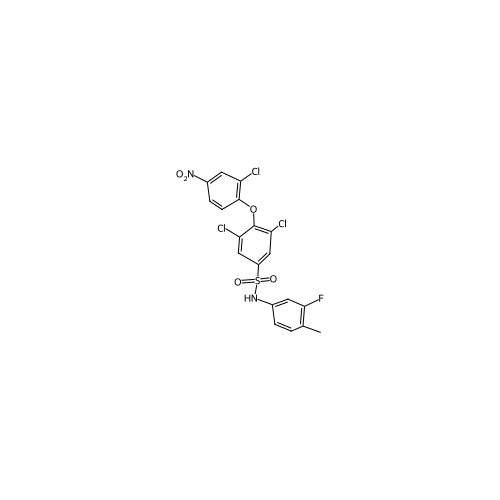 Cc1ccc(NS(=O)(=O)c2cc(Cl)c(Oc3ccc([N+](=O)[O-])cc3Cl)c(Cl)c2)cc1F